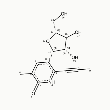 CC#Cc1[nH]c(=O)c(C)cc1[C@@H]1O[C@H](CO)C(O)[C@@H]1O